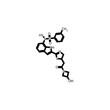 Cc1cccc(S(=O)(=O)N(S)c2cccc3cc(C4=NCC(CC(=O)N5CC(O)C5)S4)[nH]c23)c1